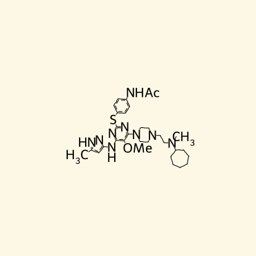 COc1c(Nc2cc(C)[nH]n2)nc(Sc2ccc(NC(C)=O)cc2)nc1N1CCN(CCN(C)C2CCCCCC2)CC1